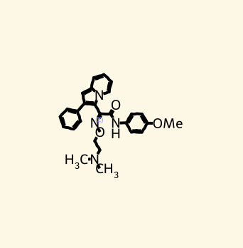 COc1ccc(NC(=O)/C(=N\OCCN(C)C)c2c(-c3ccccc3)cc3ccccn23)cc1